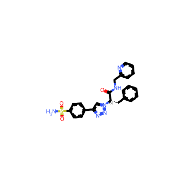 NS(=O)(=O)c1ccc(-c2cn([C@@H](Cc3ccccc3)C(=O)NCc3ccccn3)nn2)cc1